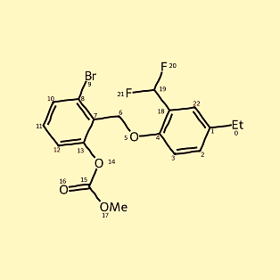 CCc1ccc(OCc2c(Br)cccc2OC(=O)OC)c(C(F)F)c1